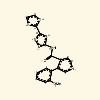 COc1ccccc1-c1cnccc1C(=O)Nc1nnc(-c2nccs2)s1